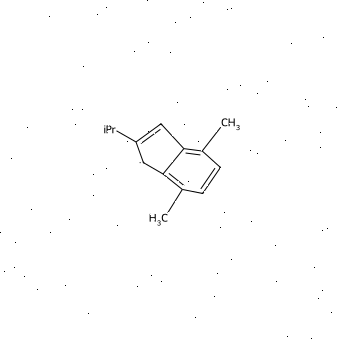 Cc1ccc(C)c2c1[CH]C(C(C)C)=C2